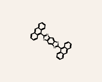 c1ccc2c(-c3nc4cc5sc(-c6c7ccccc7cc7ccccc67)nc5cc4s3)c3ccccc3cc2c1